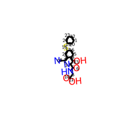 N#Cc1nc(C(=O)NCC(=O)O)c(O)c2ccc(Sc3ccccc3)cc12